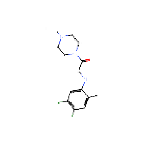 CCc1cc(Cl)c(Cl)cc1NCC(=O)N1CCN(C(=O)O)CC1